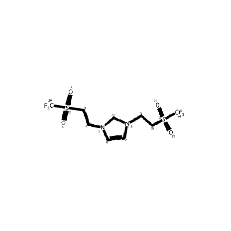 O=S(=O)(CCN1C=CN(CCS(=O)(=O)C(F)(F)F)C1)C(F)(F)F